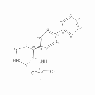 CS(=O)(=O)N[C@@H]1CNCC[C@H]1c1ccc(-c2ccccc2)cc1